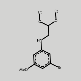 CCOC(CNc1cc(Br)cc(OC)c1)OCC